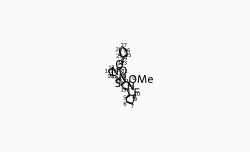 COc1nc(-c2ccccc2F)cc2sc([C@H]3CCCN3C(=O)OCc3ccccc3)nc12